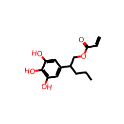 C=CC(=O)OCC(CCC)c1cc(O)c(O)c(O)c1